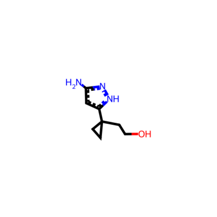 Nc1cc(C2(CCO)CC2)[nH]n1